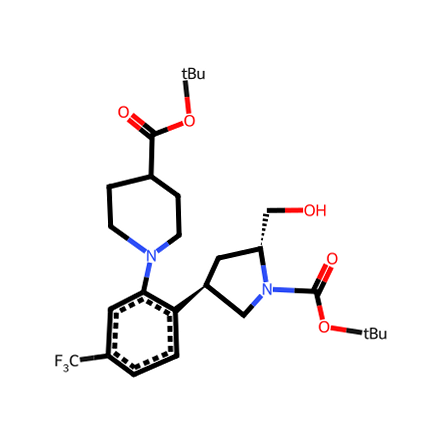 CC(C)(C)OC(=O)C1CCN(c2cc(C(F)(F)F)ccc2[C@H]2C[C@H](CO)N(C(=O)OC(C)(C)C)C2)CC1